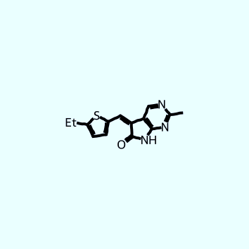 CCc1ccc(C=C2C(=O)Nc3nc(C)ncc32)s1